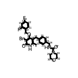 Cc1[nH]c(=O)c(Br)c(OCc2ccc(F)cc2F)c1Cc1ccc(CNC(=O)N2CCOCC2)cc1